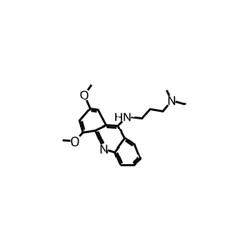 COc1cc(OC)c2nc3ccccc3c(NCCCN(C)C)c2c1